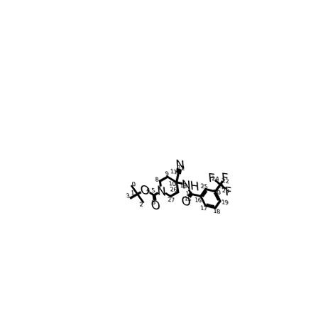 CC(C)(C)OC(=O)N1CCC(C#N)(NC(=O)c2cccc(C(F)(F)F)c2)CC1